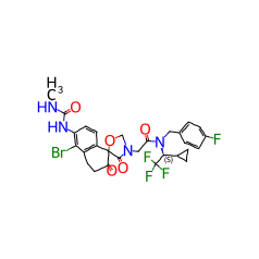 CNC(=O)Nc1ccc2c(c1Br)CCC(=O)C21OCN(CC(=O)N(Cc2ccc(F)cc2)[C@@H](C2CC2)C(F)(F)F)C1=O